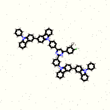 Fc1ccc(-c2cc(-c3ccc(-n4c5ccccc5c5cc(-c6ccc7c(c6)c6ccccc6n7-c6ccccc6)ccc54)cc3)nc(-c3cccc(-n4c5ccccc5c5cc(-c6ccc7c(c6)c6ccccc6n7-c6ccccc6)ccc54)c3)n2)cc1C(F)(F)F